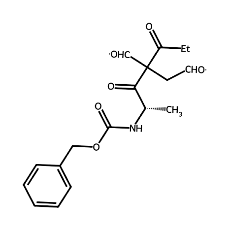 CCC(=O)C([C]=O)(C[C]=O)C(=O)[C@H](C)NC(=O)OCc1ccccc1